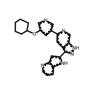 c1cnc2cc(-c3n[nH]c4cnc(-c5cncc(OC6CCCCC6)c5)cc34)[nH]c2c1